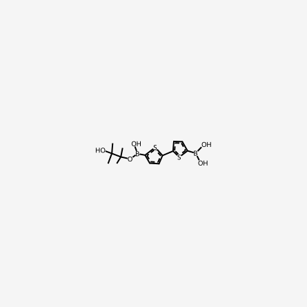 CC(C)(O)C(C)(C)OB(O)c1ccc(-c2ccc(B(O)O)s2)s1